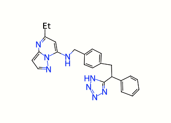 CCc1cc(NCc2ccc(CC(c3ccccc3)c3nnn[nH]3)cc2)n2nccc2n1